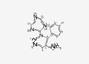 Nc1cnnnc1-c1ccccc1.c1ncncn1